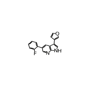 Fc1ccccc1-c1cnc2[nH]cc(-c3ccoc3)c2c1